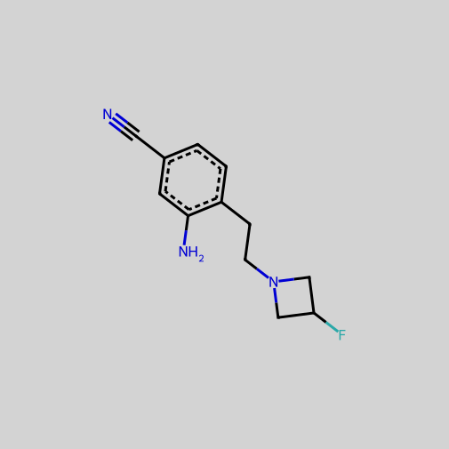 N#Cc1ccc(CCN2CC(F)C2)c(N)c1